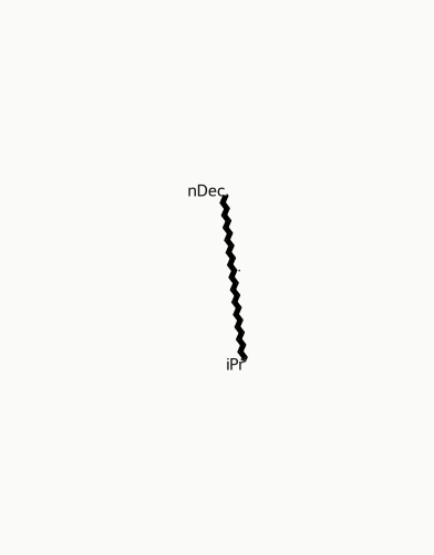 CCCCCCCCCCCCCCCCCCCCCC[CH]CCCCCCCCCCCCCCC(C)C